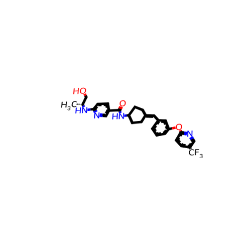 C[C@H](CO)Nc1ccc(C(=O)NC2CCC(=Cc3cccc(Oc4ccc(C(F)(F)F)cn4)c3)CC2)cn1